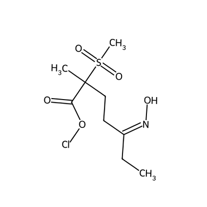 CCC(CCC(C)(C(=O)OCl)S(C)(=O)=O)=NO